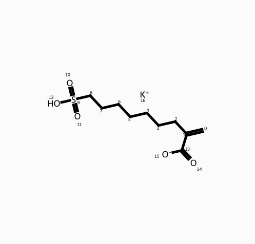 C=C(CCCCCCCS(=O)(=O)O)C(=O)[O-].[K+]